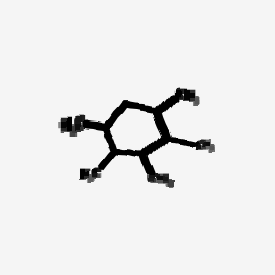 [CH2]C1CC(C)C(C)C(C)C1C